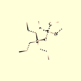 CCC[Si](CCC)(CCC)[O][Ti]([O]C)([O]C)[O]C